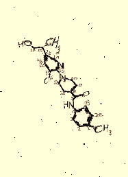 Cc1ccc(NC(=O)C2=CCN(c3ncc([C@@H](C)CO)cc3Cl)CC2)cc1